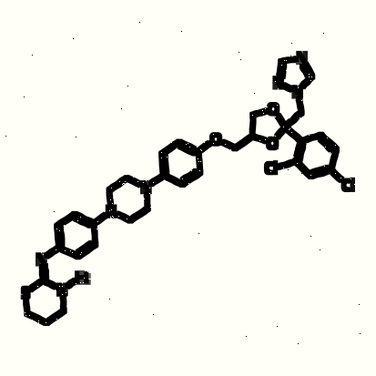 CCN1CCCSC1=Nc1ccc(N2CCN(c3ccc(OCC4COC(Cn5cncn5)(c5ccc(Cl)cc5Cl)O4)cc3)CC2)cc1